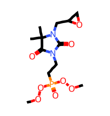 COOP(=O)(CCN1C(=O)N(CC2CO2)C(C)(C)C1=O)OOC